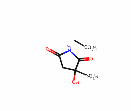 CC(=O)O.O=C1CC(O)(S(=O)(=O)O)C(=O)N1